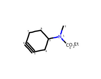 CCOC(=O)N(C)C1CC#CCC1